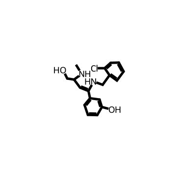 CNC(/C=C(\NCc1ccccc1Cl)c1cccc(O)c1)CO